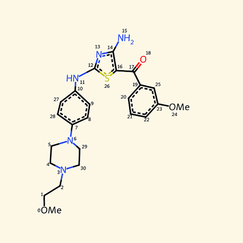 COCCN1CCN(c2ccc(Nc3nc(N)c(C(=O)c4cccc(OC)c4)s3)cc2)CC1